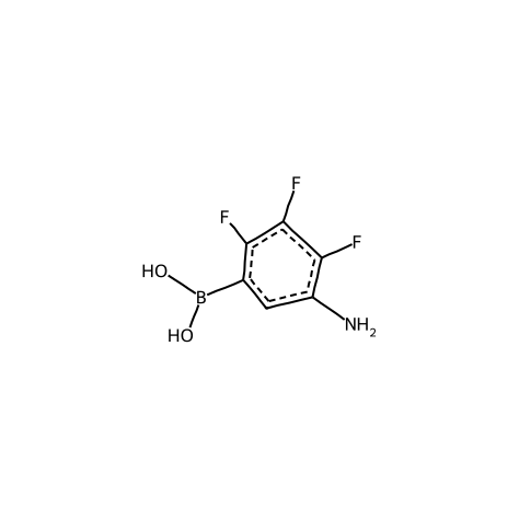 Nc1cc(B(O)O)c(F)c(F)c1F